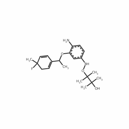 CC(Oc1cc(BOC(C)(C)C(C)(C)O)ccc1N)C1=CCC(C)(F)C=C1